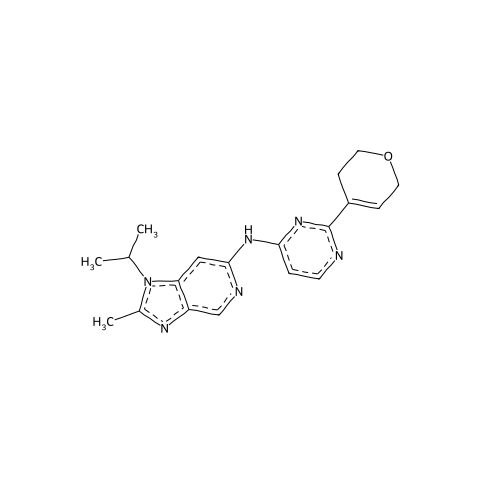 Cc1nc2cnc(Nc3ccnc(C4=CCOCC4)n3)cc2n1C(C)C